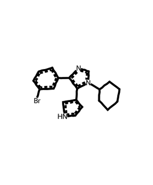 Brc1cccc(-c2ncn(C3CCCCC3)c2-c2cc[nH]c2)c1